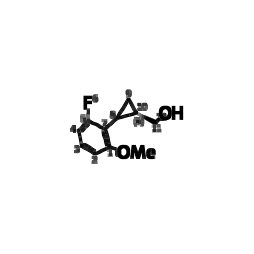 COc1cccc(F)c1C1C[C@H]1CO